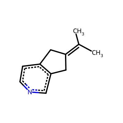 CC(C)=C1Cc2ccncc2C1